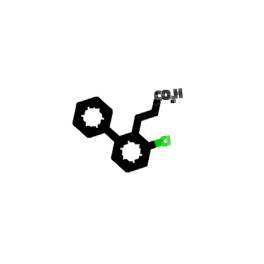 O=C(O)CCc1c(Cl)cccc1-c1ccccc1